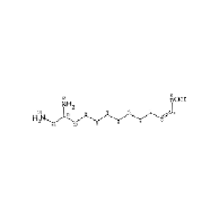 CCCCCCCC/C=C\CCCCCCCCC(N)CN